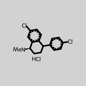 CN[C@@H]1CCC(c2ccc(Cl)cc2)c2ccc(Cl)cc21.Cl